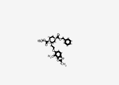 Cc1nc2ccc(OCC[C@@H]3CN(C(=O)OCc4ccccc4)CCN3C(=O)OC(C)(C)C)c(C)c2o1